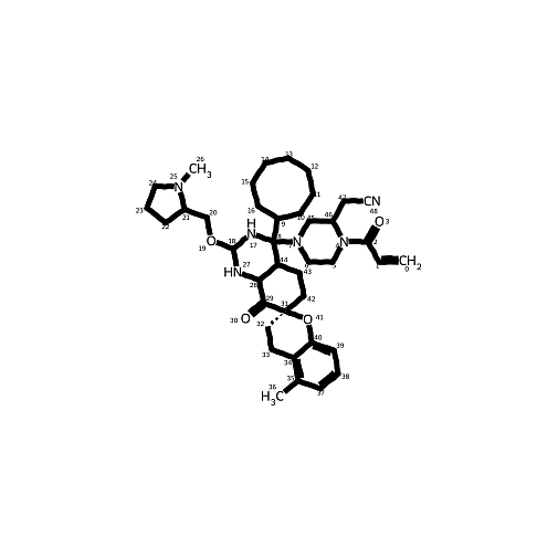 C=CC(=O)N1CCN(C2(C3CCCCCCC3)NC(OCC3CCCN3C)NC3C(=O)[C@@]4(CCc5c(C)cccc5O4)CCC32)CC1CC#N